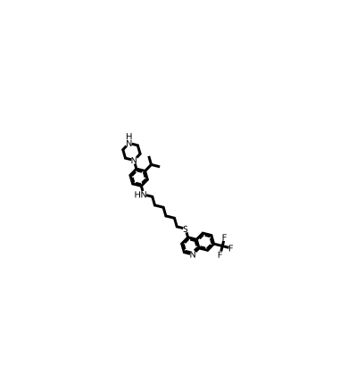 CC(C)c1cc(NCCCCCCSc2ccnc3cc(C(F)(F)F)ccc23)ccc1N1CCNCC1